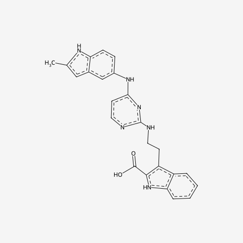 Cc1cc2cc(Nc3ccnc(NCCc4c(C(=O)O)[nH]c5ccccc45)n3)ccc2[nH]1